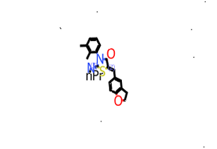 CCC/N=C1\S/C(=C\c2ccc3c(c2)CCO3)C(=O)N1c1cccc(C)c1C